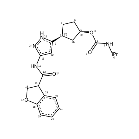 CC(C)NC(=O)O[C@@H]1CC[C@H](c2cc(NC(=O)C3COc4ccccc43)n[nH]2)C1